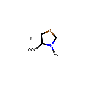 CC(=O)N1CSCC1C(=O)[O-].[K+]